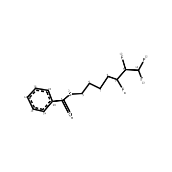 O=C(SCCCCC(F)C(F)C(F)F)c1ccccc1